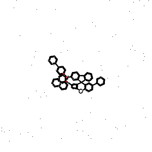 c1ccc(-c2ccc(N(c3ccc4c(c3)C3(c5cc(-c6ccccc6)ccc5Oc5ccc(-c6ccccc6)cc53)c3ccccc3-4)c3cccc4ccccc34)cc2)cc1